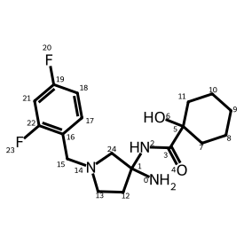 NC1(NC(=O)C2(O)CCCCC2)CCN(Cc2ccc(F)cc2F)C1